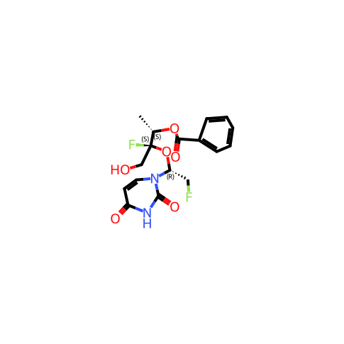 C[C@H](OC(=O)c1ccccc1)[C@@](F)(CO)O[C@H](CF)n1ccc(=O)[nH]c1=O